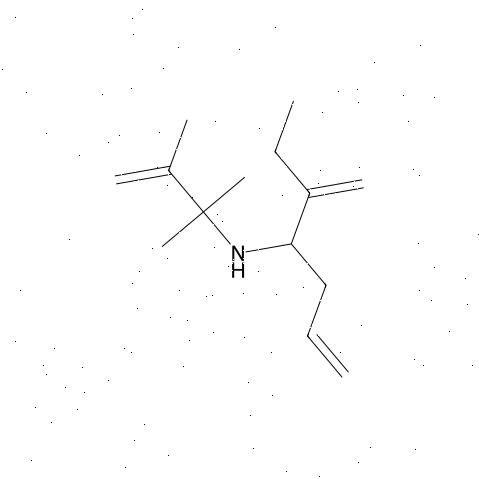 C=CCC(NC(C)(C)C(=C)C)C(=C)CC